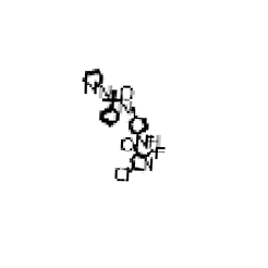 O=C(NC1CCC(CN2C(=O)C3(CN(c4ccccn4)C3)c3ccccc32)CC1)c1cc(Cl)cnc1C(F)F